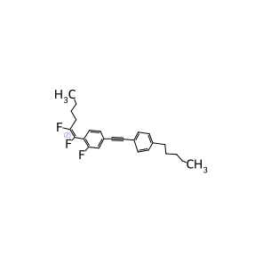 CCCCCc1ccc(C#Cc2ccc(/C(F)=C(/F)CCCC)c(F)c2)cc1